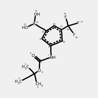 CC(C)(C)OC(=O)Nc1cc(B(O)O)cc(C(F)(F)F)c1